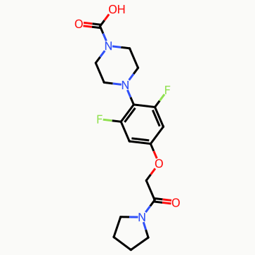 O=C(O)N1CCN(c2c(F)cc(OCC(=O)N3CCCC3)cc2F)CC1